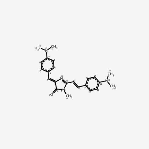 CN1C(=O)/C(=C/c2ccc(N(C)C)cc2)N=C1/C=C/c1ccc(N(C)C)cc1